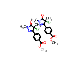 COC(=O)c1ccc(C2=NN(C)C(=O)C2(C)Br)cc1.COC(=O)c1ccc(C2=NN(C)C(=O)C2(C)Br)cc1